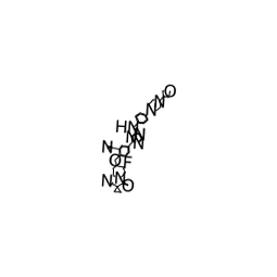 N#Cc1cc(-c2ncnc(Nc3ccc(N4CCN(C5COC5)CC4)cc3)n2)ccc1OC1CCN(C(=O)C2(C#N)CC2)CC1F